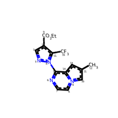 CCOC(=O)c1cnn(-c2nccn3cc(C)cc23)c1C(F)(F)F